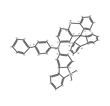 C[Si]1(C)c2ccccc2-c2cc(N(c3ccc(-c4ccccc4)cc3)c3ccc4c(c3)C3(c5ccccc5O4)c4ccccc4-c4ccccc43)ccc21